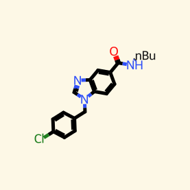 CCCCNC(=O)c1ccc2c(c1)ncn2Cc1ccc(Cl)cc1